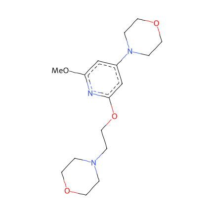 COc1cc(N2CCOCC2)cc(OCCN2CCOCC2)n1